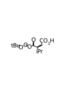 CC(C)C(=CC(=O)O)C(=O)OOOC(C)(C)C